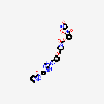 Cc1cccc(C(=O)NC2CC(n3cnc4c(NCc5cccc(OCC6CCN(C(=O)COc7cccc8c7C(=O)N([C@H]7CCC(=O)NC7=O)C8=O)CC6)c5)ncnc43)C2)n1